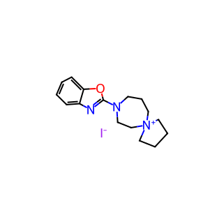 [I-].c1ccc2oc(N3CCC[N+]4(CCCC4)CC3)nc2c1